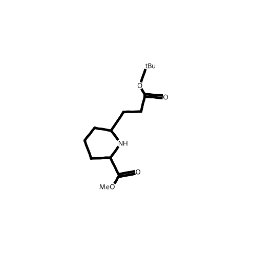 COC(=O)C1CCCC(CCC(=O)OC(C)(C)C)N1